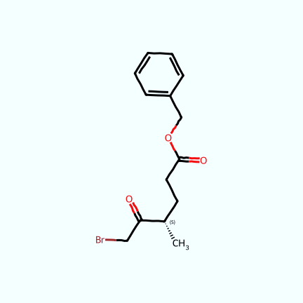 C[C@@H](CCC(=O)OCc1ccccc1)C(=O)CBr